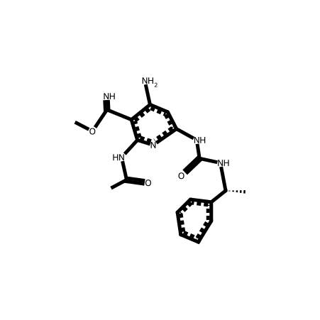 COC(=N)c1c(N)cc(NC(=O)N[C@H](C)c2ccccc2)nc1NC(C)=O